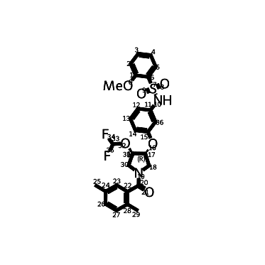 COc1ccccc1S(=O)(=O)Nc1cccc(O[C@@H]2CN(C(=O)c3cc(C)ccc3C)C[C@H]2OC(F)F)c1